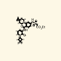 CCOC(=O)CS(=O)(=O)Nc1ccc(C(=O)Nc2cccn(C3CC(F)(F)C3)c2=O)c(N2CCC3(CC2)CC3)c1